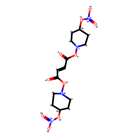 O=C(/C=C/C(=O)ON1CCC(O[N+](=O)[O-])CC1)ON1CCC(O[N+](=O)[O-])CC1